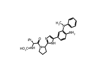 CC(C)[C@H](NC(=O)O)C(=O)N1CCCC1c1ncc(-c2ccc(N)c(N(C)c3ccccc3)c2)[nH]1